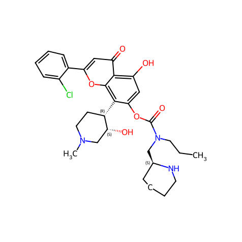 CCCN(C[C@@H]1CCCCN1)C(=O)Oc1cc(O)c2c(=O)cc(-c3ccccc3Cl)oc2c1[C@H]1CCN(C)C[C@H]1O